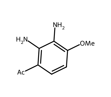 COc1ccc(C(C)=O)c(N)c1N